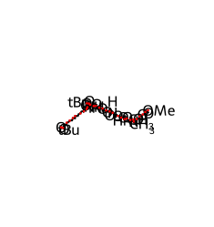 COC(=O)CCOCCOCC[N+](C)(C)CCNC(=O)COCCOCCNC(=O)COCCOCCNC(=O)CC[C@H](NC(=O)CCCCCCCCCCCCCCCCC(=O)OC(C)(C)C)C(=O)OC(C)(C)C